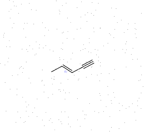 C#C/C=C/C